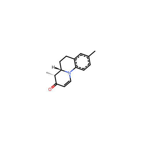 Cc1ccc2c(c1)CC[C@H]1[C@@H](C)C(=O)C=CN21